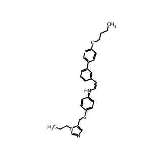 CCCCOc1ccc(-c2cccc(/C=C\Nc3ccc(SCc4cncn4CCC)cc3)c2)cc1